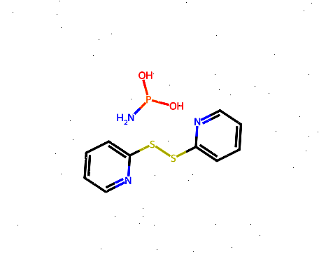 NP(O)O.c1ccc(SSc2ccccn2)nc1